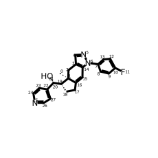 C[C@]12Cc3cnn(-c4ccc(F)cc4)c3C=C1CC[C@@H]2[C@@H](O)c1ccncc1